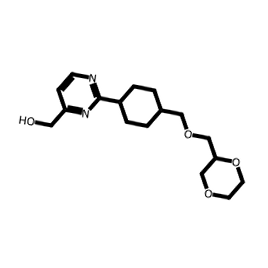 OCc1ccnc(C2CCC(COCC3COCCO3)CC2)n1